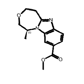 COC(=O)c1ccc2nc3n(c2c1)[C@@H](C)COCC3